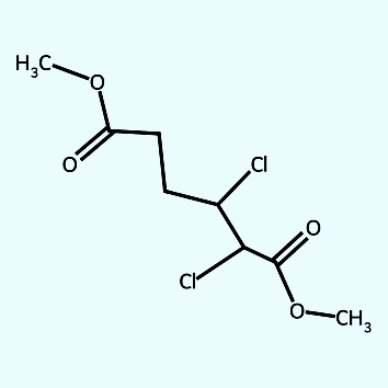 COC(=O)CCC(Cl)C(Cl)C(=O)OC